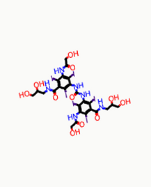 O=C(CO)Nc1c(I)c(NC(=O)Nc2c(I)c(NC(=O)CO)c(I)c(C(=O)NCC(O)CO)c2I)c(I)c(C(=O)NCC(O)CO)c1I